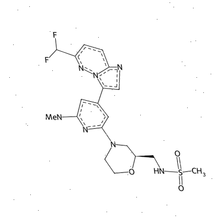 CNc1cc(-c2cnc3ccc(C(F)F)nn23)cc(N2CCO[C@H](CNS(C)(=O)=O)C2)n1